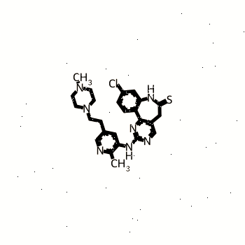 Cc1ncc(CCN2CCN(C)CC2)cc1Nc1ncc2c(n1)-c1ccc(Cl)cc1NC(=S)C2